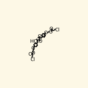 CC(O)(Cc1ccc(OCCOC(=O)CCCl)cc1)C(=O)C(C)(O)Cc1ccc(OCCOC(=O)CCCl)cc1